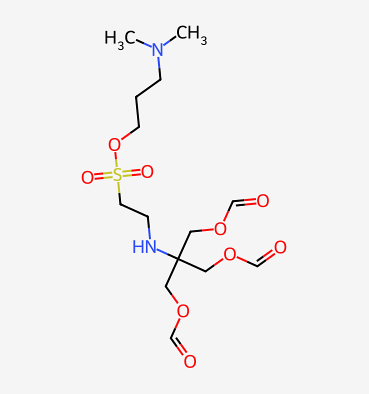 CN(C)CCCOS(=O)(=O)CCNC(COC=O)(COC=O)COC=O